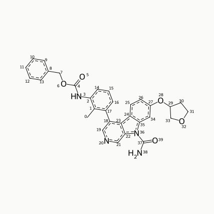 Cc1c(NC(=O)OCc2ccccc2)cccc1-c1cncc2c1c1ccc(OC3CCOC3)cc1n2C(N)=O